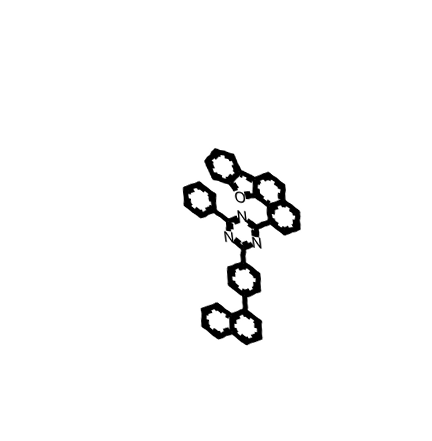 c1ccc(-c2nc(-c3ccc(-c4cccc5ccccc45)cc3)nc(-c3cccc4ccc5c6ccccc6oc5c34)n2)cc1